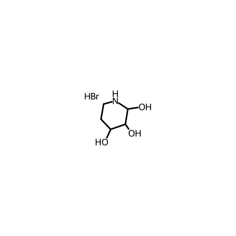 Br.OC1CCNC(O)C1O